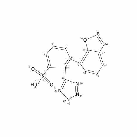 CS(=O)(=O)c1cccc(-c2cccc3ccoc23)c1-c1nn[nH]n1